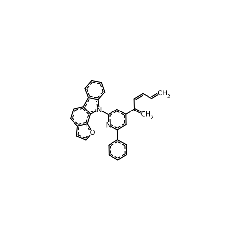 C=C/C=C\C(=C)c1cc(-c2ccccc2)nc(-n2c3ccccc3c3ccc4ccoc4c32)c1